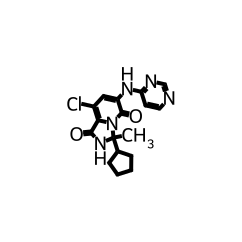 CC1(C2CCCC2)NC(=O)c2c(Cl)cc(Nc3ccncn3)c(=O)n21